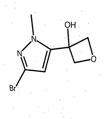 Cn1nc(Br)cc1C1(O)COC1